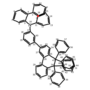 c1ccc(-c2ccccc2N(c2ccccc2)c2cccc(-c3ccc4c(c3)-c3ccccc3C(c3ccccc3)(c3ccccc3)C4(c3ccccc3)c3ccccc3)c2)cc1